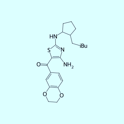 CCC(C)CC1CCCC1Nc1nc(N)c(C(=O)c2ccc3c(c2)OCCO3)s1